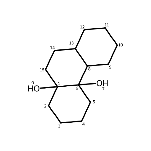 OC12CCCCC1(O)C1CCCCC1CC2